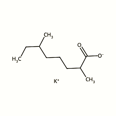 CCC(C)CCCC(C)C(=O)[O-].[K+]